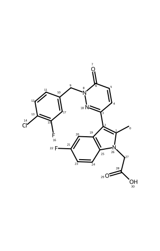 Cc1c(-c2ccc(=O)n(Cc3ccc(Cl)c(F)c3)n2)c2cc(F)ccc2n1CC(=O)O